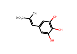 CCOC(=O)/C(C#N)=C/c1cc(O)c(O)c(O)c1